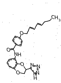 CCC/C=C/C=C/COc1ccc(C(=O)Nc2cccc3c2OC(c2nnn[nH]2)CO3)cc1